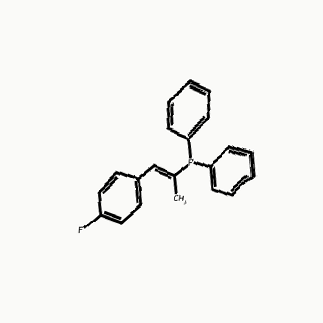 C/C(=C\c1ccc(F)cc1)P(c1ccccc1)c1ccccc1